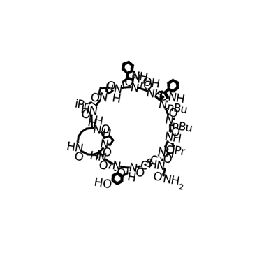 CCCC[C@H]1C(=O)N(C)[C@@H](CCCC)C(=O)N[C@@H](CC(C)C)C(=O)N[C@H](C(=O)NCC(N)=O)CSCC(=O)N[C@@H](Cc2ccc(O)cc2)C(=O)N(C)[C@@H](C)C(=O)N[C@H]2CCC(=O)NCCCC[C@H](NC(=O)[C@@H]3CCCN3C2=O)C(=O)N[C@@H](CC(C)C)C(=O)N2CCC[C@H]2C(=O)N[C@@H](Cc2c[nH]c3ccccc23)C(=O)N[C@@H](CO)C(=O)N[C@@H](Cc2c[nH]c3ccccc23)C(=O)N1C